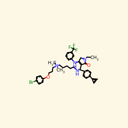 CCN1CC(Nc2cccc(C(F)(F)F)c2)=C([C@H](NCCCCC[N+](C)(C)CCCOc2ccc(Br)cc2)c2ccc(C3=C=C3)cc2)C1=O